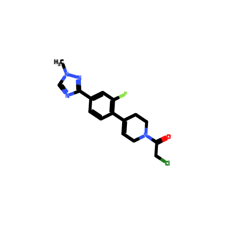 Cn1cnc(-c2ccc(C3=CCN(C(=O)CCl)CC3)c(F)c2)n1